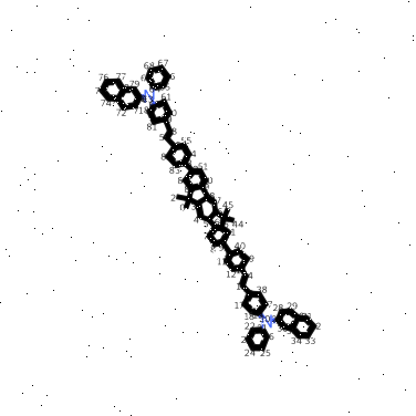 CC1(C)C2=CC3c4ccc(-c5ccc(/C=C/c6ccc(N(c7ccccc7)c7ccc8ccccc8c7)cc6)cc5)cc4C(C)(C)C3C=C2c2ccc(-c3ccc(/C=C/c4ccc(N(c5ccccc5)c5ccc6ccccc6c5)cc4)cc3)cc21